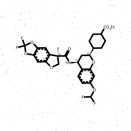 CCOC(=O)C1CCC([C@@H]2C[C@H](NC(=O)[C@@]3(C)COc4cc5c(cc43)OC(F)(F)O5)c3ccc(OC(F)F)cc3O2)CC1